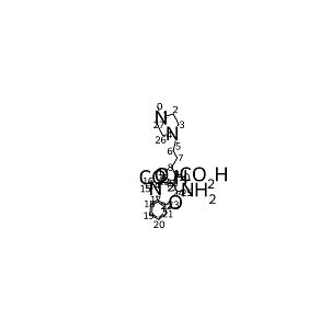 CN1CCN(CCCCC(C(=O)O)[C@@H]2C(=O)N(CC(=O)O)c3ccccc3OC2N)CC1